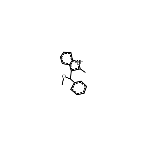 COC(c1ccccc1)c1c(C)[nH]c2ccccc12